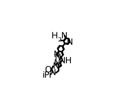 Cc1c(N)cncc1-c1ccc2nnc(Nc3cc4n(n3)CC(=O)N(C(C)C)CC4)cc2c1